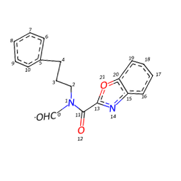 O=[C]N(CCCc1ccccc1)C(=O)c1nc2ccccc2o1